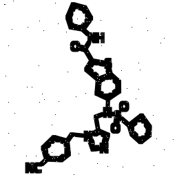 N#Cc1ccc(Cn2cncc2CN(c2ccc3sc(C(=O)Nc4ccccc4)cc3c2)S(=O)(=O)c2ccccc2)cc1